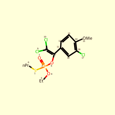 CCCSP(=O)(OCC)OC(=C(Cl)Cl)c1ccc(OC)c(Cl)c1